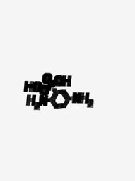 Nc1ccc(N)c(P(=O)(O)OO)c1